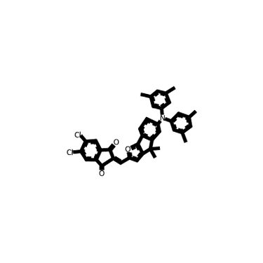 Cc1cc(C)cc(N(c2cc(C)cc(C)c2)c2ccc3c(c2)C(C)(C)c2cc(C=C4C(=O)c5cc(Cl)c(Cl)cc5C4=O)oc2-3)c1